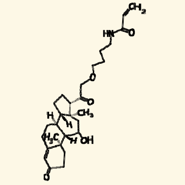 C=CC(=O)NCCCCOCC(=O)[C@H]1CC[C@H]2[C@@H]3CCC4=CC(=O)CC[C@]4(C)[C@H]3C(O)C[C@]12C